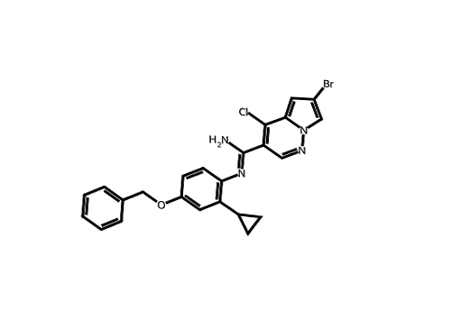 N/C(=N\c1ccc(OCc2ccccc2)cc1C1CC1)c1cnn2cc(Br)cc2c1Cl